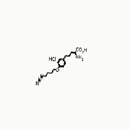 Cl.[N-]=[N+]=NCCCCOc1ccc(CCC[C@H](N)C(=O)O)cc1